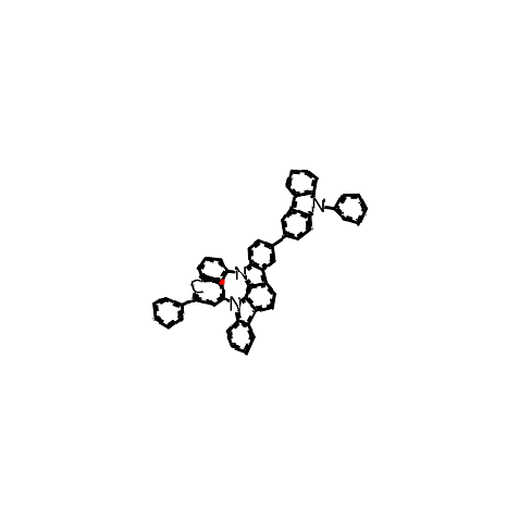 c1ccc(-c2cccc(-n3c4ccccc4c4ccc5c6cc(-c7ccc8c(c7)c7ccccc7n8-c7ccccc7)ccc6n(-c6ccccc6)c5c43)c2)cc1